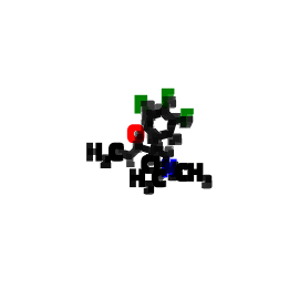 C=CC(=O)C(C)(CN(C)C)c1cc(F)c(F)c(F)c1